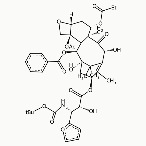 CCC(=O)O[C@H]1C[C@H]2OC[C@@]2(OC(C)=O)C2[C@H](OC(=O)c3ccccc3)[C@]3(O)C[C@H](OC(=O)[C@H](O)[C@@H](NC(=O)OC(C)(C)C)c4ccco4)C(C)=C([C@@H](O)C(=O)[C@@]21C)C3(C)C